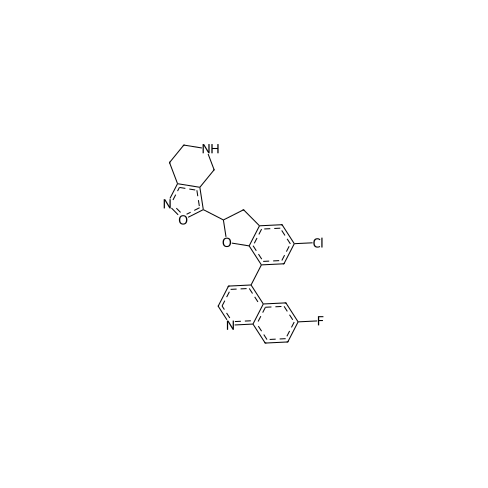 Fc1ccc2nccc(-c3cc(Cl)cc4c3OC(c3onc5c3CNCC5)C4)c2c1